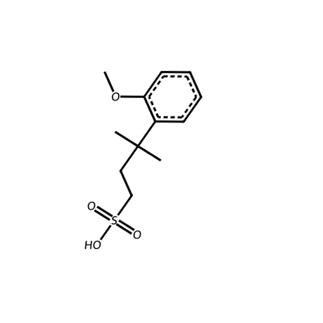 COc1ccccc1C(C)(C)CCS(=O)(=O)O